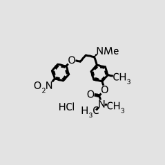 CN[C@H](CCOc1ccc([N+](=O)[O-])cc1)c1ccc(OC(=O)N(C)C)c(C)c1.Cl